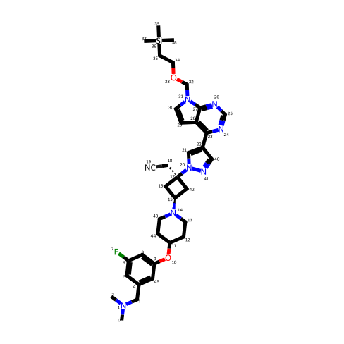 CN(C)Cc1cc(F)cc(OC2CCN([C@H]3C[C@@](CC#N)(n4cc(-c5ncnc6c5ccn6COCC[Si](C)(C)C)cn4)C3)CC2)c1